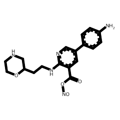 Nc1ccc(-c2cnc(NCCC3CNCCO3)c(C(=O)ON=O)c2)cc1